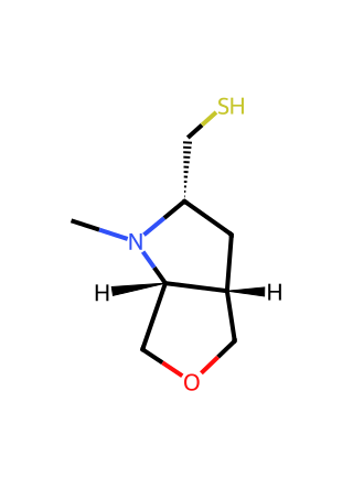 CN1[C@H](CS)C[C@@H]2COC[C@@H]21